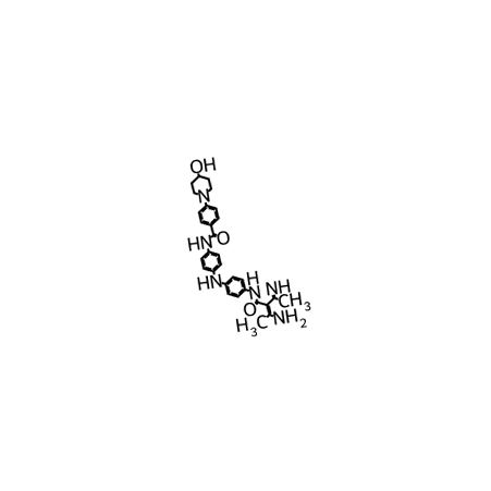 CC(=N)/C(C(=O)Nc1ccc(Nc2ccc(NC(=O)c3ccc(N4CCC(O)CC4)cc3)cc2)cc1)=C(/C)N